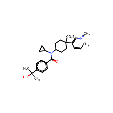 C=N/C=C(\C=C/C)C1(C(=O)OCC)CCC(N(C(=O)c2ccc([C@](C)(O)C(F)(F)F)cc2)C2CC2)CC1